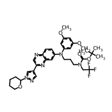 COc1cc(OC)cc(N(CCCN(CC(F)(F)F)C(=O)OC(C)(C)C)c2ccc3ncc(-c4cnn(C5CCCCO5)c4)nc3c2)c1